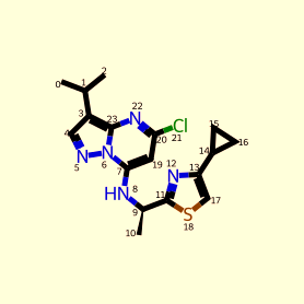 CC(C)c1cnn2c(N[C@H](C)c3nc(C4CC4)cs3)cc(Cl)nc12